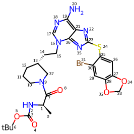 C[C@@H](NC(=O)OC(C)(C)C)C(=O)N1CCC[C@H](CCn2cnc(N)c3nc(Sc4cc5c(cc4Br)OCO5)nc2-3)C1